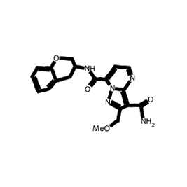 COCc1nn2c(C(=O)NC3COc4ccccc4C3)ccnc2c1C(N)=O